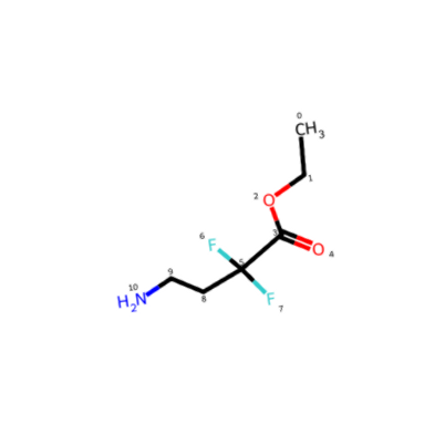 CCOC(=O)C(F)(F)CCN